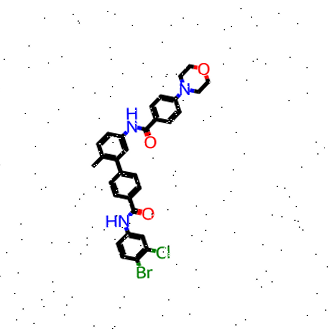 Cc1ccc(NC(=O)c2ccc(N3CCOCC3)cc2)cc1-c1ccc(C(=O)Nc2ccc(Br)c(Cl)c2)cc1